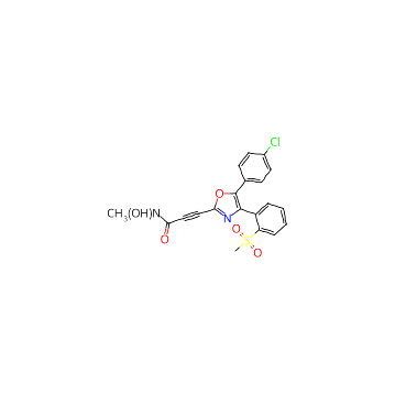 CN(O)C(=O)C#Cc1nc(-c2ccccc2S(C)(=O)=O)c(-c2ccc(Cl)cc2)o1